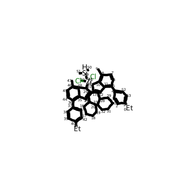 CCc1ccc(-c2ccc(C)c3c2C=C(CC2CCCCC2)[CH]3[Zr]([Cl])([Cl])([CH]2C(CC3CCCCC3)=Cc3c(-c4ccc(CC)cc4)ccc(C)c32)[SiH](C)C)cc1